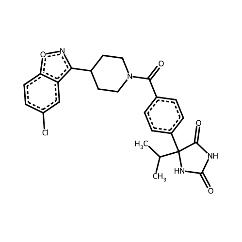 CC(C)C1(c2ccc(C(=O)N3CCC(c4noc5ccc(Cl)cc45)CC3)cc2)NC(=O)NC1=O